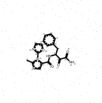 Cc1ncc(C(=O)NC(Cc2ccccc2)C(=O)C(N)=O)n1-c1ncco1